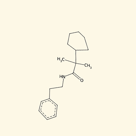 CC(C)(C(=O)NCCc1ccccc1)C1CCCCC1